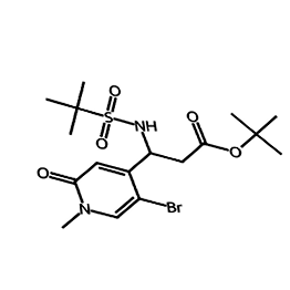 Cn1cc(Br)c(C(CC(=O)OC(C)(C)C)NS(=O)(=O)C(C)(C)C)cc1=O